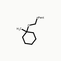 CCCCCCOC1(C)CCCCC1